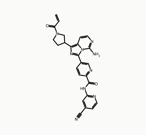 C=CC(=O)N1CCC(c2nc(-c3ccc(C(=O)Nc4cc(C#N)ccn4)nc3)n3c(N)nccc23)C1